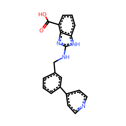 O=C(O)c1cccc2[nH]c(NCc3cccc(-c4ccncc4)c3)nc12